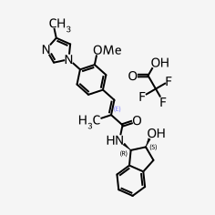 COc1cc(/C=C(\C)C(=O)N[C@@H]2c3ccccc3C[C@@H]2O)ccc1-n1cnc(C)c1.O=C(O)C(F)(F)F